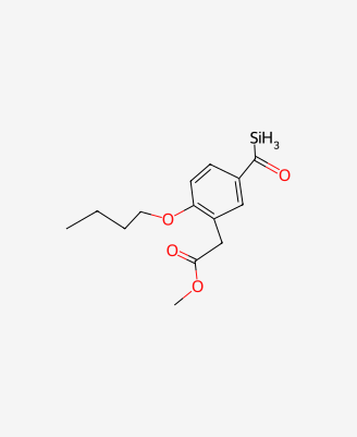 CCCCOc1ccc(C(=O)[SiH3])cc1CC(=O)OC